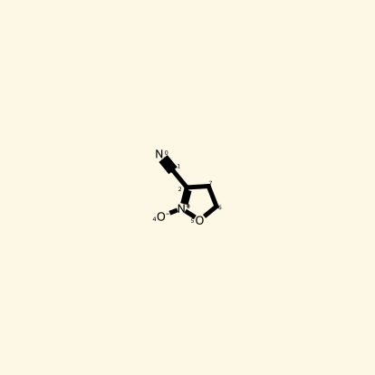 N#CC1=[N+]([O-])OCC1